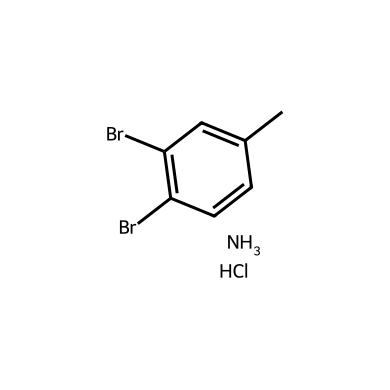 Cc1ccc(Br)c(Br)c1.Cl.N